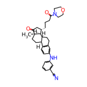 C[C@]12CC[C@@H]3c4ccc(Nc5cccc(C#N)c5)cc4CC[C@H]3[C@@H]1[C@@H](CCCC(=O)N1CCOCC1)CC2=O